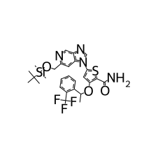 CC(Oc1cc(-n2cnc3cnc(CO[Si](C)(C)C(C)(C)C)cc32)sc1C(N)=O)c1ccccc1C(F)(F)F